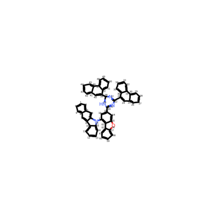 c1ccc2cc3c(cc2c1)c1ccccc1n3-c1cc(C2=NC(c3cc4ccccc4c4ccccc34)=NC(c3cc4ccccc4c4ccccc34)N2)cc2oc3ccccc3c12